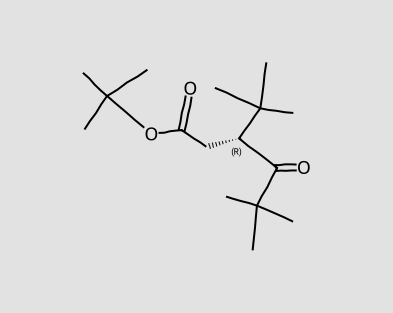 CC(C)(C)OC(=O)C[C@@H](C(=O)C(C)(C)C)C(C)(C)C